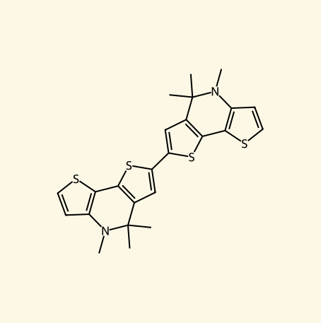 CN1c2ccsc2-c2sc(-c3cc4c(s3)-c3sccc3N(C)C4(C)C)cc2C1(C)C